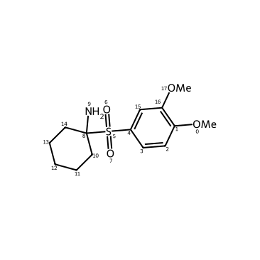 COc1ccc(S(=O)(=O)C2(N)CCCCC2)cc1OC